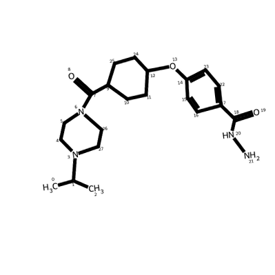 CC(C)N1CCN(C(=O)C2CCC(Oc3ccc(C(=O)NN)cc3)CC2)CC1